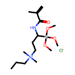 C=C(C)C(=O)NC(CC[N+](C)(C)CCC)[Si](OC)(OC)OC.[Cl-]